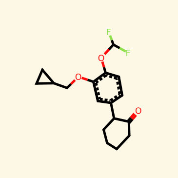 O=C1CCCCC1c1ccc(OC(F)F)c(OCC2CC2)c1